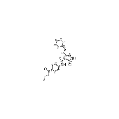 CCCC(=O)c1ccc(NC(C)c2c(CSc3ccccc3)n[nH]c2Cl)cc1